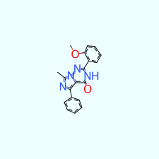 COc1ccccc1-c1nn2c(C)nc(-c3ccccc3)c2c(=O)[nH]1